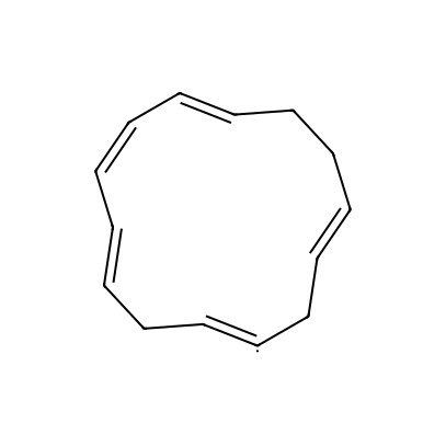 [C]1=C/C/C=C/C=C\C=C\CC/C=C/C/1